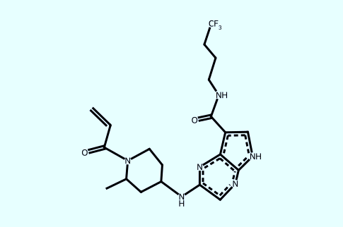 C=CC(=O)N1CCC(Nc2cnc3[nH]cc(C(=O)NCCCC(F)(F)F)c3n2)CC1C